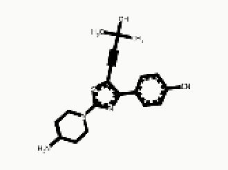 CC(C)(O)C#Cc1sc(N2CCC(N)CC2)nc1-c1ccc(C#N)cc1